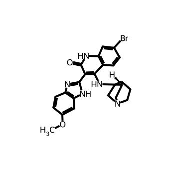 COc1ccc2nc(-c3c(N[C@H]4CN5CCC4CC5)c4ccc(Br)cc4[nH]c3=O)[nH]c2c1